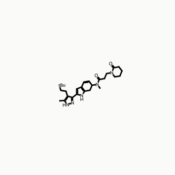 Cc1[nH]nc(-c2cc3c([nH]2)CC(N(C)C(=O)CCN2CCCCC2=O)C=C3)c1CCC(C)(C)C